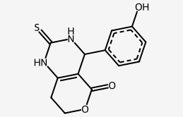 O=C1OCCC2=C1C(c1cccc(O)c1)NC(=S)N2